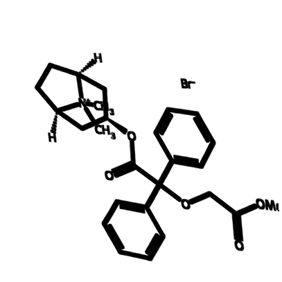 COC(=O)COC(C(=O)O[C@H]1C[C@H]2CC[C@@H](C1)[N+]2(C)C)(c1ccccc1)c1ccccc1.[Br-]